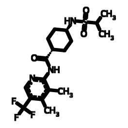 Cc1c(C(F)(F)F)cnc(NC(=O)[C@H]2CC[C@H](NS(=O)(=O)C(C)C)CC2)c1C